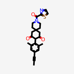 CC#Cc1cc(C)c(C2C(=O)CC3(CCN(C(=O)c4nccs4)CC3)CC2=O)c(C)c1